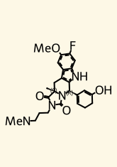 CNCCCN1C(=O)N2[C@H](C3=CCCC(O)=C3)c3[nH]c4cc(F)c(OC)cc4c3C[C@@]2(C)C1=O